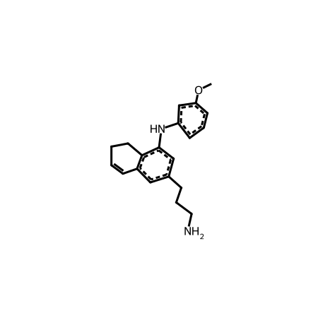 COc1cccc(Nc2cc(CCCN)cc3c2CCC=C3)c1